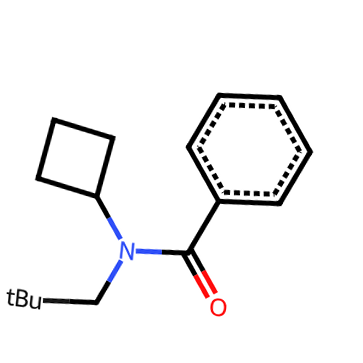 CC(C)(C)CN(C(=O)c1ccccc1)C1CCC1